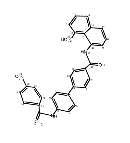 C=C(Nc1ccc(-c2ccc(C(=O)Nc3cccc4cccc(S(=O)(=O)O)c34)cc2)cc1)c1ccc([N+](=O)[O-])cc1